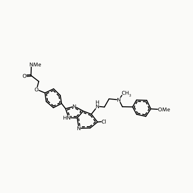 CNC(=O)COc1ccc(-c2nc3c(NCCN(C)Cc4ccc(OC)cc4)c(Cl)cnc3[nH]2)cc1